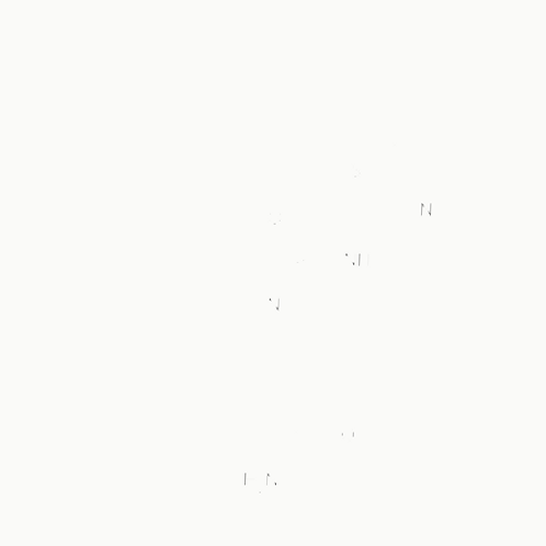 NC(=O)CCN(CCC(c1ccccc1)c1ccccc1)C(=O)Nc1nc2ccccc2s1